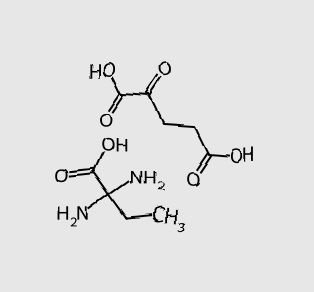 CCC(N)(N)C(=O)O.O=C(O)CCC(=O)C(=O)O